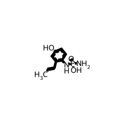 CC=Cc1cc(O)ccc1NP(N)(=O)O